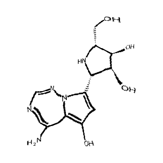 Nc1ncnn2c([C@@H]3N[C@H](CO)[C@@H](O)[C@H]3O)cc(O)c12